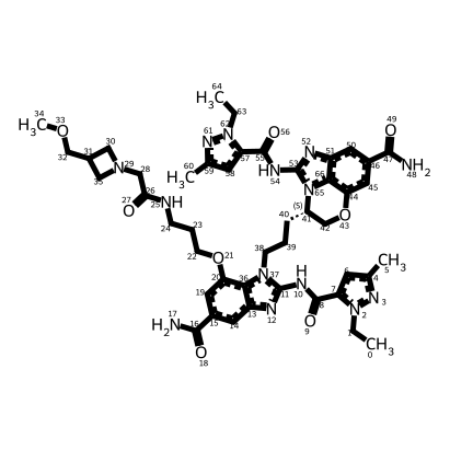 CCn1nc(C)cc1C(=O)Nc1nc2cc(C(N)=O)cc(OCCCNC(=O)CN3CC(COC)C3)c2n1CCC[C@H]1COc2cc(C(N)=O)cc3nc(NC(=O)c4cc(C)nn4CC)n1c23